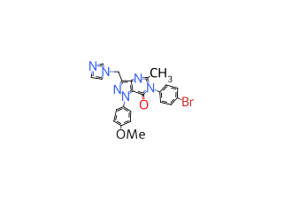 COc1ccc(-n2nc(Cn3ccnc3)c3nc(C)n(-c4ccc(Br)cc4)c(=O)c32)cc1